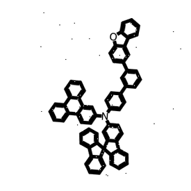 c1cc(-c2ccc(N(c3ccc4c(c3)C3(c5ccccc5-c5ccccc53)c3ccccc3-4)c3ccc4c5ccccc5c5ccccc5c4c3)cc2)cc(-c2ccc3oc4ccccc4c3c2)c1